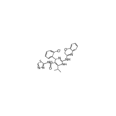 CC(C)C1=C(C(=O)Nc2nncs2)C(c2ccccc2Cl)N=C(NC2=Nc3ccccc3OC2)N1